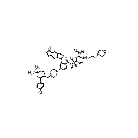 CC1(C)CCC(CN2CCN(c3ccc(C(=O)NS(=O)(=O)c4ccc(NCCCN5CCOCC5)c([N+](=O)[O-])c4)c(-n4ncc5nc6[nH]ccc6cc54)c3)CC2)=C(c2ccc(Cl)cc2)C1